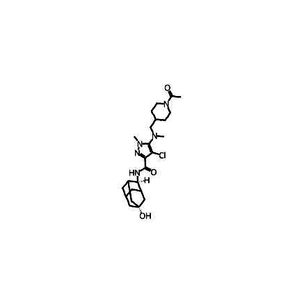 CC(=O)N1CCC(CN(C)c2c(Cl)c(C(=O)N[C@H]3C4CC5CC3C[C@](O)(C5)C4)nn2C)CC1